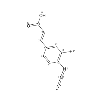 [N-]=[N+]=Nc1ccc(/C=C/C(=O)O)cc1F